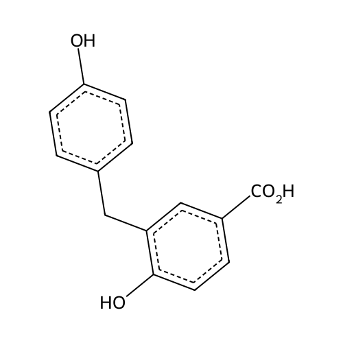 O=C(O)c1ccc(O)c(Cc2ccc(O)cc2)c1